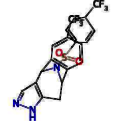 O=S(=O)(c1ccc(C(F)(F)F)cc1)N1C2Cc3[nH]ncc3C1c1cc(C(F)(F)F)ccc12